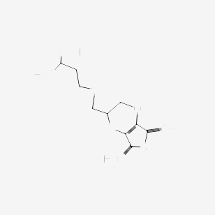 C=c1sc(=C)c2c1OCC(COCCC(C)S(=O)(=O)O)O2